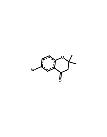 CC(=O)c1ccc2c(c1)C(=O)CC(C)(C)O2